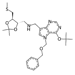 CSC[C@@H]1OC(C)(C)O[C@H]1CNCc1cn(COCc2ccccc2)c2c(OC(C)(C)C)ncnc12